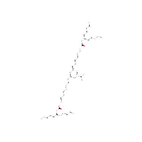 CCCCCC(CCCCC)CC(=O)OCCCCCCCCC(CCCCCCCCOC(=O)CC(CCCCC)CCCCC)CN(C)C(C)C